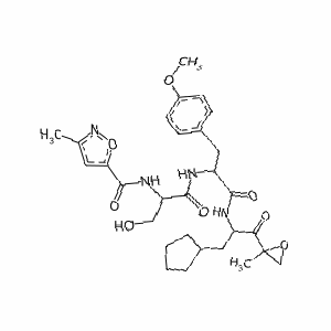 COc1ccc(CC(NC(=O)C(CO)NC(=O)c2cc(C)no2)C(=O)NC(CC2CCCC2)C(=O)C2(C)CO2)cc1